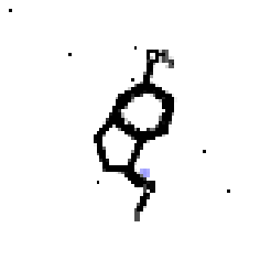 Cc1ccc2c(c1)CC/C2=N\I